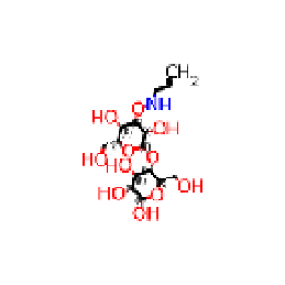 C=CCNO[C@@H]1[C@@H](O)[C@@H](O[C@H]2[C@H](O)[C@@H](O)[C@H](O)O[C@@H]2CO)O[C@H](CO)[C@H]1O